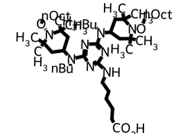 CCCCCCCCON1C(C)(C)CC(N(CCCC)c2nc(NCCCCCC(=O)O)nc(N(CCCC)C3CC(C)(C)N(OCCCCCCCC)C(C)(C)C3)n2)CC1(C)C